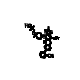 CCCc1c(Cc2ccc(-c3ccccc3C#N)cc2)c(=O)n(C2CCC(C)(OCC(C)(C)O)CC2)c2nc(C)nn12